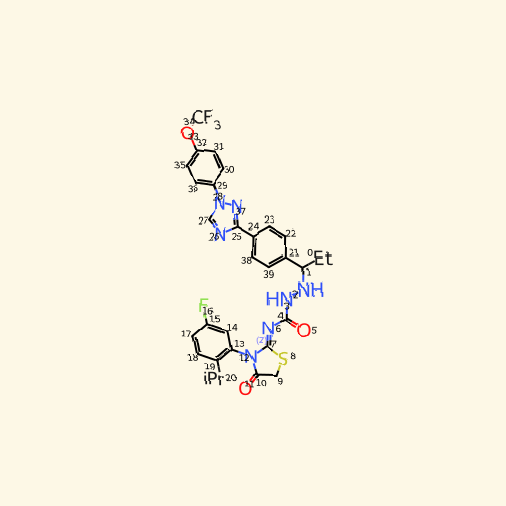 CCC(NNC(=O)/N=C1\SCC(=O)N1c1cc(F)ccc1C(C)C)c1ccc(-c2ncn(-c3ccc(OC(F)(F)F)cc3)n2)cc1